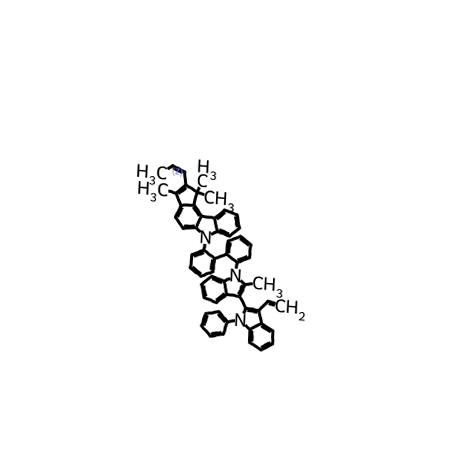 C=Cc1c(-c2c(C)n(-c3ccccc3-c3ccccc3-n3c4ccccc4c4c5c(ccc43)C(C)=C(/C=C\C)C5(C)C)c3ccccc23)n(-c2ccccc2)c2ccccc12